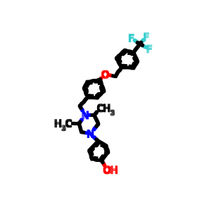 CC1CN(c2ccc(O)cc2)CC(C)N1Cc1ccc(OCc2ccc(C(F)(F)F)cc2)cc1